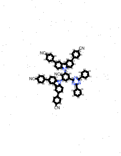 N#Cc1ccc(-c2ccc3c(c2)c2cc(-c4ccc(C#N)cc4)ccc2n3-c2cc(-c3nc(-c4ccccc4)nc(-c4ccccc4)n3)cc(-n3c4ccc(-c5ccc(C#N)cc5)cc4c4cc(-c5ccc(C#N)cc5)ccc43)c2C#N)cc1